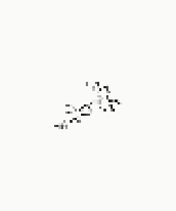 C=CC1=C(/C=N\C(=C)N)C(=O)N(Cc2ccc(O[C@@H](CCNC)c3cccs3)cc2)CCN1C